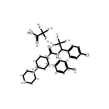 O=C(NC(c1ccc(Cl)cc1)C(F)(F)F)[C@@H]1CC[C@H](N2CCOCC2)C[C@H]1c1ccc(Br)cc1.O=C(O)C(F)(F)F